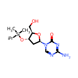 CC(C)[Si](C)(C)O[C@H]1C[C@H](n2cnc(N)nc2=O)O[C@@H]1CO